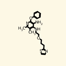 Cc1nc(Oc2ccccc2)c(N)c(NCCOCCCc2nccs2)c1C